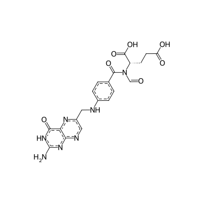 Nc1nc2ncc(CNc3ccc(C(=O)N(C=O)[C@@H](CCC(=O)O)C(=O)O)cc3)nc2c(=O)[nH]1